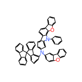 c1ccc(-n2c3cc(N(c4ccc5oc6ccccc6c5c4)c4cccc5c4-c4ccccc4C54c5ccccc5-c5ccccc54)ccc3c3ccc4c5ccccc5oc4c32)cc1